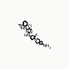 CP(C)c1ccccc1Nc1nc(Nc2ccc(N3CCC4(CC3)CC(N)C4)c(F)c2)ncc1Cl